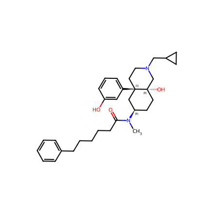 CN(C(=O)CCCCCc1ccccc1)[C@@H]1CC[C@]2(O)CN(CC3CC3)CC[C@@]2(c2cccc(O)c2)C1